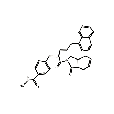 O=C(NO)c1ccc(C=C(CCOc2cccc3ccccc23)C(=O)N2CC3CC=CCC3C2=O)cc1